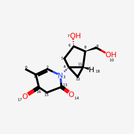 CC1=CN([C@]23C[C@H](O)[C@@H](CO)[C@@H]2C3)C(=O)CC1=O